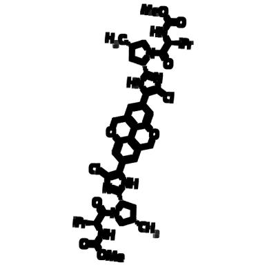 COC(=O)N[C@H](C(=O)N1C[C@@H](C)C[C@H]1c1nc(Cl)c(-c2cc3c4c(c2)OCc2cc(-c5[nH]c([C@@H]6C[C@H](C)CN6C(=O)[C@@H](NC(=O)OC)C(C)C)nc5Cl)cc(c2-4)OC3)[nH]1)C(C)C